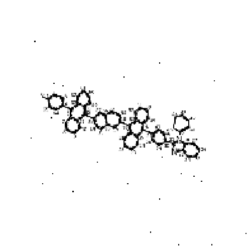 Cc1ccc(-c2c3ccccc3c(-c3ccc4cc(-c5c6ccccc6c(-c6ccc(-c7nc8ccccc8n7C7=CC=CCC7)cc6)c6ccccc56)ccc4c3)c3ccccc23)cc1